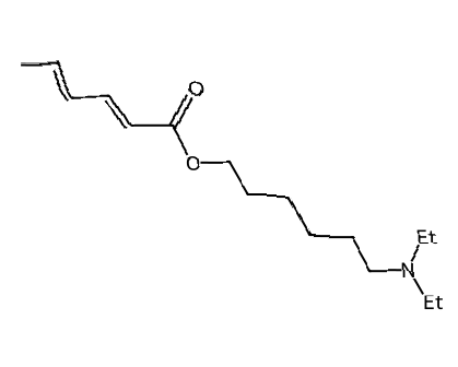 CC=CC=CC(=O)OCCCCCCN(CC)CC